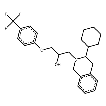 OC(COc1ccc(C(F)(F)F)cc1)CN1Cc2ccccc2CC1C1CCCCC1